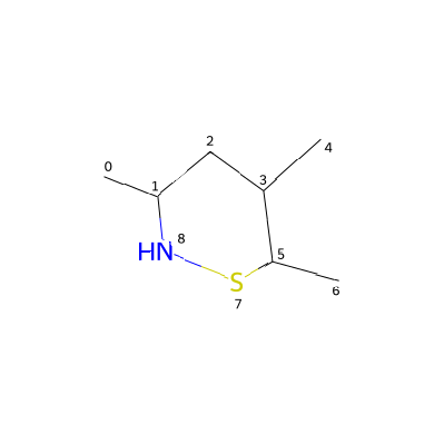 CC1CC(C)C(C)SN1